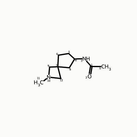 CC(=O)NC1CCC2(C1)CN(C)C2